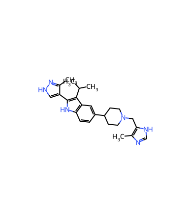 Cc1n[nH]cc1-c1[nH]c2ccc(C3CCN(Cc4[nH]cnc4C)CC3)cc2c1C(C)C